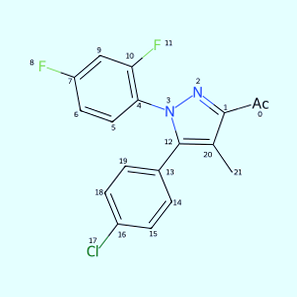 CC(=O)c1nn(-c2ccc(F)cc2F)c(-c2ccc(Cl)cc2)c1C